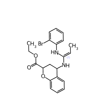 C/C=C(\Nc1ccccc1Br)NC1CC(C(=O)OCC)Oc2ccccc21